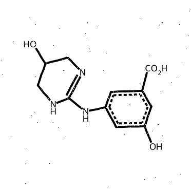 O=C(O)c1cc(O)cc(NC2=NCC(O)CN2)c1